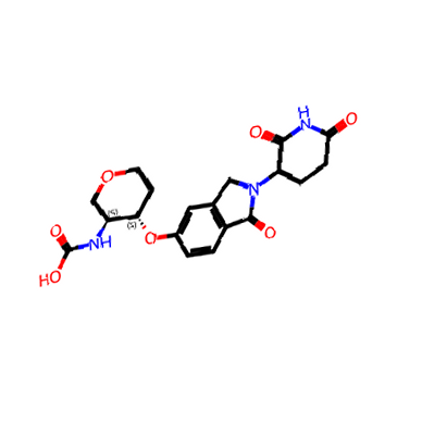 O=C(O)N[C@H]1COCC[C@@H]1Oc1ccc2c(c1)CN(C1CCC(=O)NC1=O)C2=O